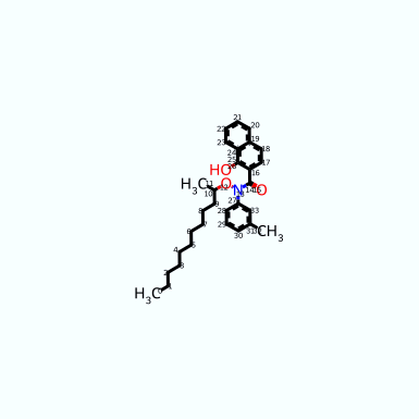 CCCCCCCCCCC(C)ON(C(=O)c1ccc2ccccc2c1O)c1cccc(C)c1